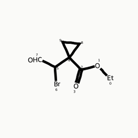 CCOC(=O)C1(C(Br)C=O)CC1